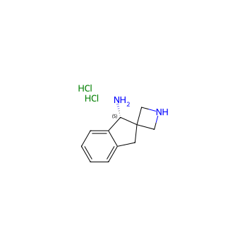 Cl.Cl.N[C@H]1c2ccccc2CC12CNC2